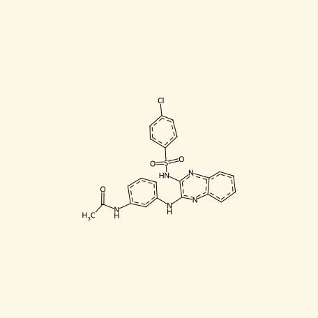 CC(=O)Nc1cccc(Nc2nc3ccccc3nc2NS(=O)(=O)c2ccc(Cl)cc2)c1